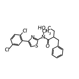 CN(C(=O)C(CC(=O)O)Cc1ccccc1)c1nc(-c2cc(Cl)ccc2Cl)cs1